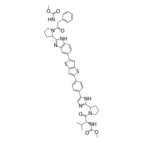 COC(=O)N[C@H](C(=O)N1CCCC1c1ncc(-c2ccc(-c3cc4sc(-c5ccc6[nH]c(C7CCCN7C(=O)[C@H](NC(=O)OC)c7ccccc7)nc6c5)cc4s3)cc2)[nH]1)C(C)C